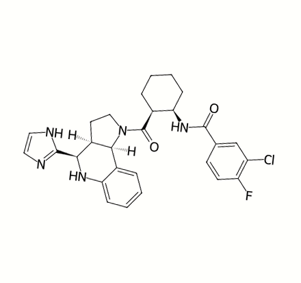 O=C(N[C@@H]1CCCC[C@@H]1C(=O)N1CC[C@@H]2[C@H](c3ncc[nH]3)Nc3ccccc3[C@@H]21)c1ccc(F)c(Cl)c1